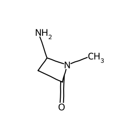 CN1C(=O)CC1N